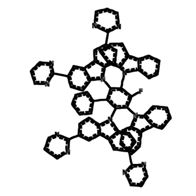 Fc1c(-n2c3ccccc3c3ccccc32)c(-n2c3ccc(-c4ncccn4)cc3c3cc(-c4ncccn4)ccc32)c(-c2ccccc2)c(-n2c3ccc(-c4ncccn4)cc3c3cc(-c4ncccn4)ccc32)c1-n1c2ccccc2c2ccccc21